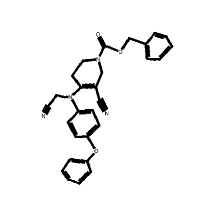 N#CCN(C1=C(C#N)CN(C(=O)OCc2ccccc2)CC1)c1ccc(Oc2ccccc2)cc1